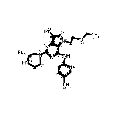 CC[C@@H]1CN(c2nc(Nc3ccc(C)cn3)c3c(n2)c(C(C)C)nn3CCOCC(F)(F)F)CCN1